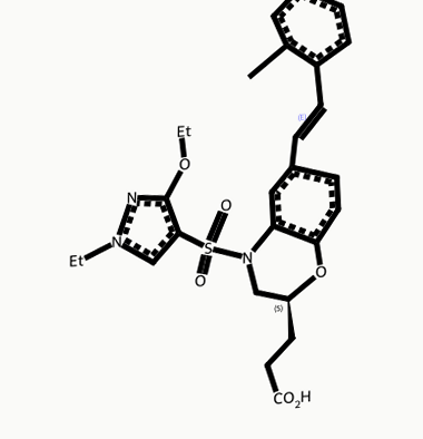 CCOc1nn(CC)cc1S(=O)(=O)N1C[C@H](CCC(=O)O)Oc2ccc(/C=C/c3ccccc3C)cc21